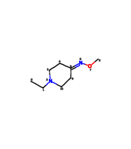 CCN1CCC(=NOC)CC1